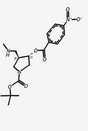 CNC[C@@H]1CN(C(=O)OC(C)(C)C)C[C@H]1OC(=O)c1ccc([N+](=O)[O-])cc1